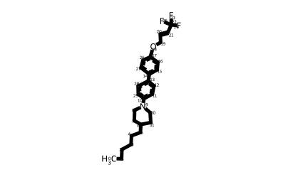 CCCCCCC1CCN(c2ccc(-c3ccc(OCC=CC(F)(F)F)cc3)cc2)CC1